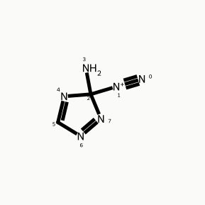 N#[N+]C1(N)N=CN=N1